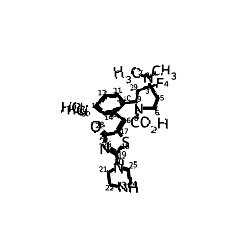 CN(C)C1(F)CCN(C(=O)O)C(c2ccccc2C=C2SC(N3CCNCC3)=NC2=O)C1.Cl.Cl